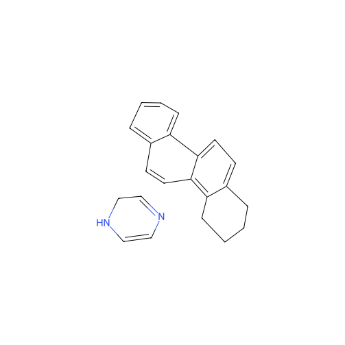 C1=CNCC=N1.c1ccc2c(c1)ccc1c3c(ccc12)CCCC3